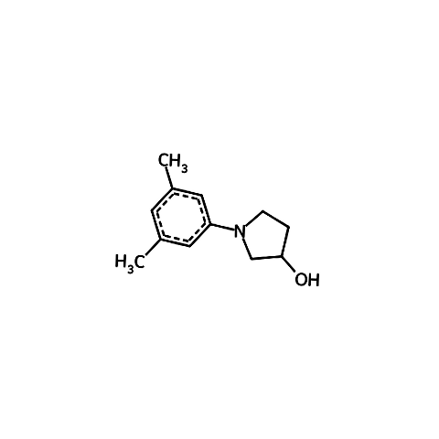 Cc1cc(C)cc(N2CCC(O)C2)c1